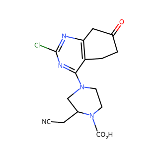 N#CCC1CN(c2nc(Cl)nc3c2CCC(=O)C3)CCN1C(=O)O